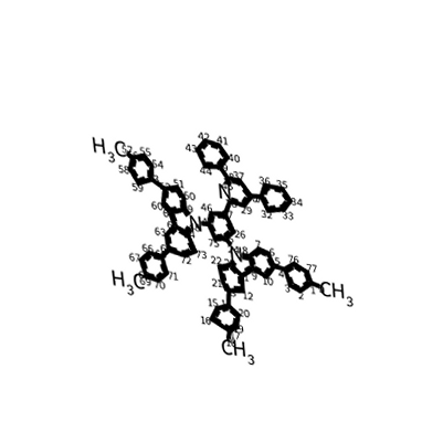 Cc1ccc(-c2ccc3c(c2)c2cc(-c4ccc(C)cc4)ccc2n3-c2cc(-c3cc(-c4ccccc4)cc(-c4ccccc4)n3)cc(-n3c4ccc(-c5ccc(C)cc5)cc4c4cc(-c5ccc(C)cc5)ccc43)c2)cc1